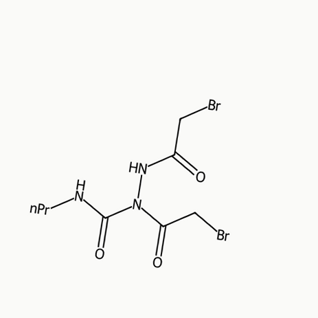 CCCNC(=O)N(NC(=O)CBr)C(=O)CBr